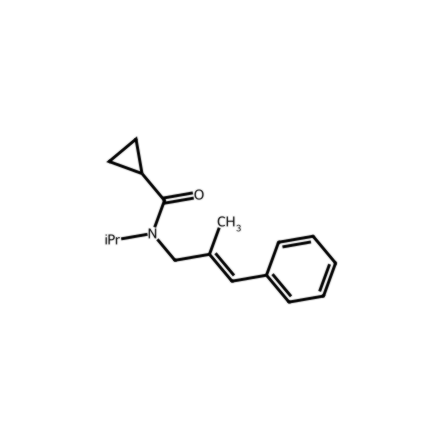 C/C(=C\c1ccccc1)CN(C(=O)C1CC1)C(C)C